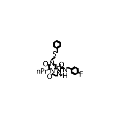 CCC[C@H]1C(=O)N(CCSCc2ccccc2)C[C@H]2N1C(=O)CN(C)N2C(=O)NCc1ccc(F)cc1